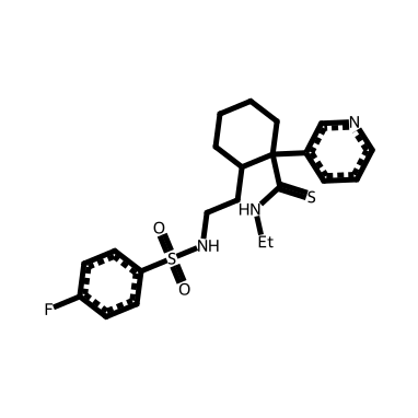 CCNC(=S)C1(c2cccnc2)CCCCC1CCNS(=O)(=O)c1ccc(F)cc1